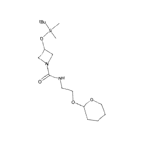 CC(C)(C)[Si](C)(C)OC1CN(C(=O)NCCOC2CCCCO2)C1